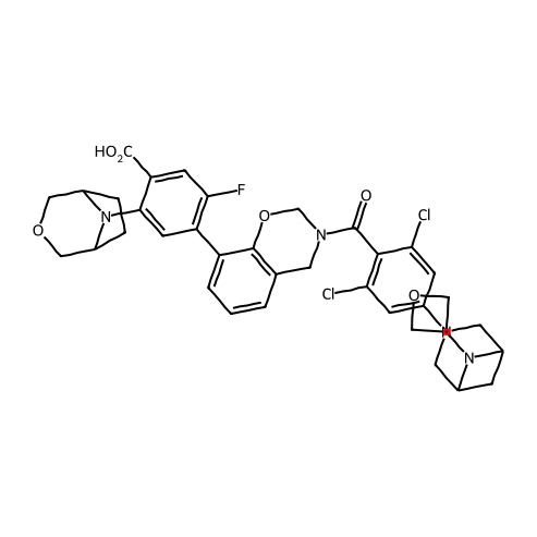 O=C(O)c1cc(F)c(-c2cccc3c2OCN(C(=O)c2c(Cl)cc(N4CC5CC(C4)N5C4COC4)cc2Cl)C3)cc1N1C2CCC1COC2